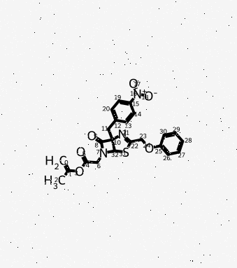 C=C(C)OC(=O)CN1C(=O)C2(Cc3ccc([N+](=O)[O-])cc3)N=C(COc3ccccc3)SC12